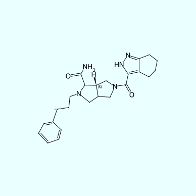 NC(=O)C1[C@@H]2CN(C(=O)c3[nH]nc4c3CCCC4)CC2CN1CC[CH]c1ccccc1